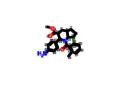 COC(=O)C1CC2CCCC2N(C(=O)c2c(C)cccc2F)C1c1ccc(N)cc1